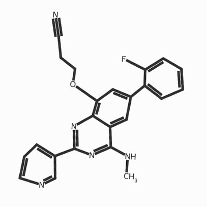 CNc1nc(-c2cccnc2)nc2c(OCCC#N)cc(-c3ccccc3F)cc12